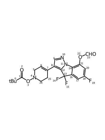 CC(C)(C)C(=O)ON1CC=C(c2cnn3c2C(F)(F)c2cc(F)cc(OC=O)c2-3)CC1